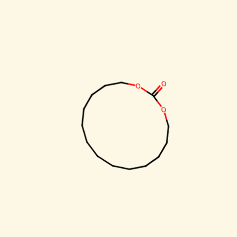 O=C1OCCCCCCCCCCCCCO1